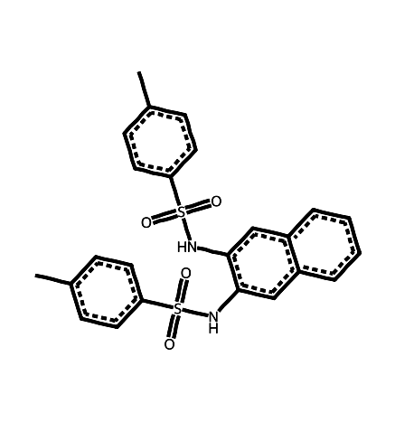 Cc1ccc(S(=O)(=O)Nc2cc3ccccc3cc2NS(=O)(=O)c2ccc(C)cc2)cc1